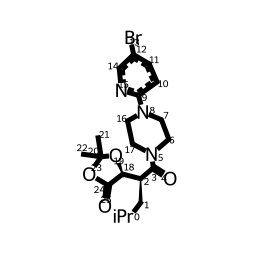 CC(C)C[C@H](C(=O)N1CCN(c2ccc(Br)cn2)CC1)[C@@H]1OC(C)(C)OC1=O